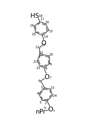 CCCOc1ccc(COc2ccc(COc3ccc(S)cc3)cc2)cc1